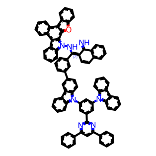 N=C1/C(=C(\Nn2c3ccccc3c3c4ccccc4c4c5ccccc5oc4c32)c2cccc(-c3ccc4c(c3)c3ccccc3n4-c3cc(-c4nc(-c5ccccc5)cc(-c5ccccc5)n4)cc(-n4c5ccccc5c5ccccc54)c3)c2)C=Cc2ccccc21